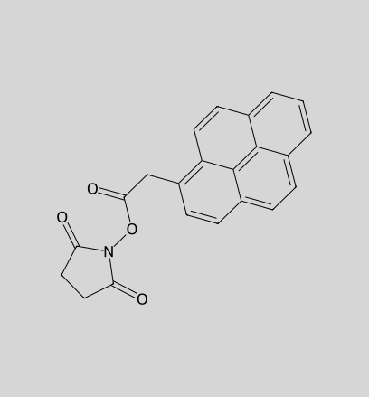 O=C(Cc1ccc2ccc3cccc4ccc1c2c34)ON1C(=O)CCC1=O